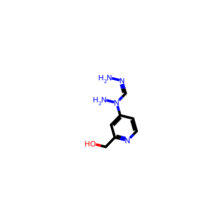 N/N=C\N(N)c1ccnc(CO)c1